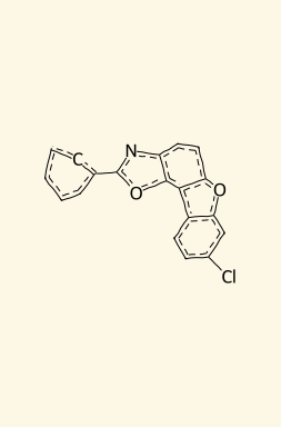 Clc1ccc2c(c1)oc1ccc3nc(-c4ccccc4)oc3c12